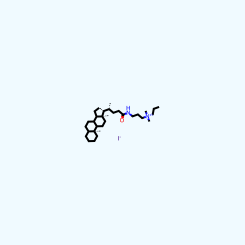 CCC[N+](C)(C)CCCNC(=O)CC[C@@H](C)[C@H]1CCC2C3CCC4CCCC[C@]4(C)C3CC[C@@]21C.[I-]